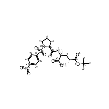 CC(C)(C)OC(=O)CCC(NC(=O)C1CCCN1S(=O)(=O)c1ccc([N+](=O)[O-])cc1)C(=O)O